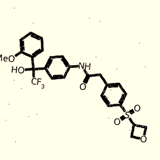 COc1ccccc1C(O)(c1ccc(NC(=O)Cc2ccc(S(=O)(=O)C3COC3)cc2)cc1)C(F)(F)F